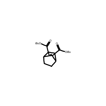 CC(C)COC(=O)C1=C(C(=O)OCC(C)C)C2CCC1CC2